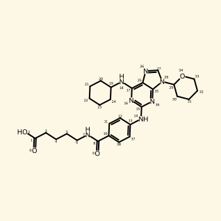 O=C(O)CCCCNC(=O)c1ccc(Nc2nc(NC3CCCCC3)c3ncn(C4CCCCO4)c3n2)cc1